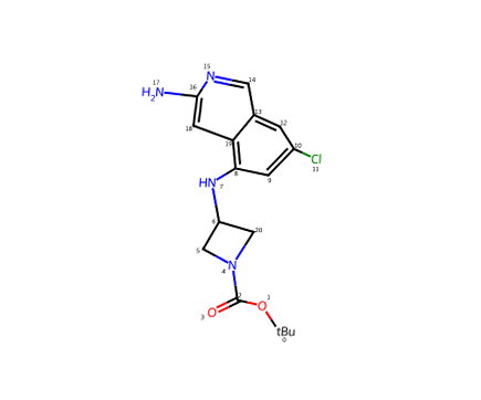 CC(C)(C)OC(=O)N1CC(Nc2cc(Cl)cc3cnc(N)cc23)C1